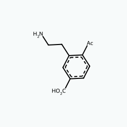 CC(=O)c1ccc(C(=O)O)cc1CCN